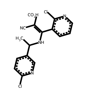 CC(NC(=C(C#N)C(=O)O)c1cccnc1Cl)c1ccc(Cl)nc1